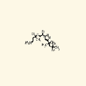 CCC(COC(C)(CC)CCNC)n1cc(C(C)(C)CC(C)(C)C(C)=O)nn1